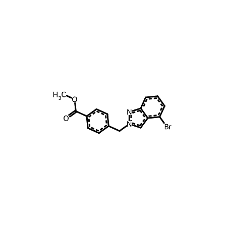 COC(=O)c1ccc(Cn2cc3c(Br)cccc3n2)cc1